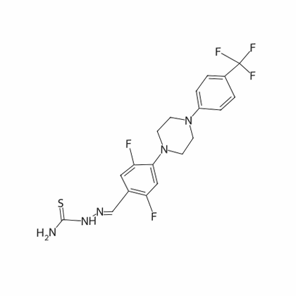 NC(=S)NN=Cc1cc(F)c(N2CCN(c3ccc(C(F)(F)F)cc3)CC2)cc1F